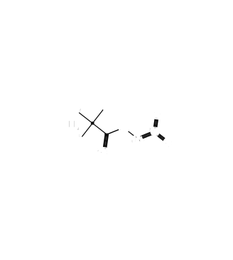 C.CC(C)(C)C(=O)ON=S(=O)=O